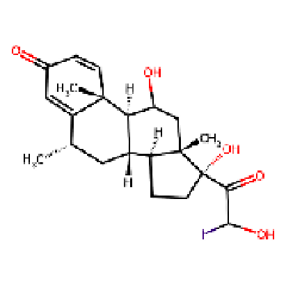 C[C@H]1C[C@@H]2[C@H](C(O)C[C@@]3(C)[C@H]2CC[C@]3(O)C(=O)C(O)I)[C@@]2(C)C=CC(=O)C=C12